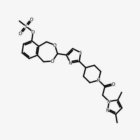 Cc1cc(C)n(CC(=O)N2CCC(c3nc(C4OCc5cccc(OS(C)(=O)=O)c5CO4)cs3)CC2)n1